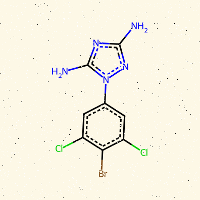 Nc1nc(N)n(-c2cc(Cl)c(Br)c(Cl)c2)n1